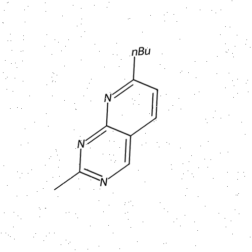 CCCCc1ccc2cnc(C)nc2n1